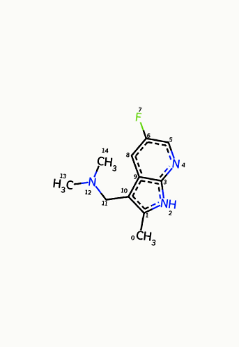 Cc1[nH]c2ncc(F)cc2c1CN(C)C